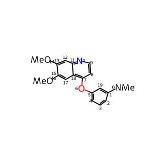 CNc1cccc(Oc2ccnc3cc(OC)c(OC)cc23)c1